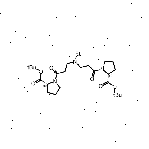 CCN(CCC(=O)N1CCC[C@@H]1C(=O)OC(C)(C)C)CCC(=O)N1CCC[C@@H]1C(=O)OC(C)(C)C